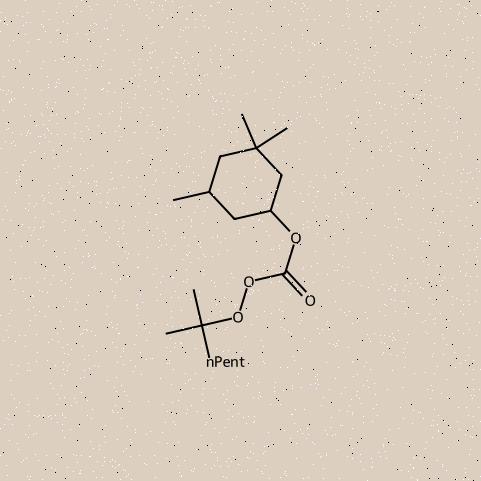 CCCCCC(C)(C)OOC(=O)OC1CC(C)CC(C)(C)C1